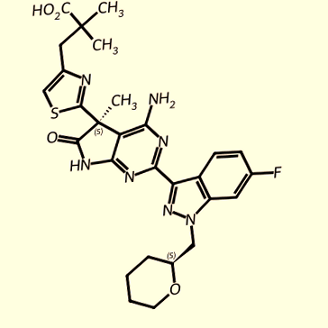 CC(C)(Cc1csc([C@]2(C)C(=O)Nc3nc(-c4nn(C[C@@H]5CCCCO5)c5cc(F)ccc45)nc(N)c32)n1)C(=O)O